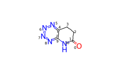 O=C1CCc2nnnnc2N1